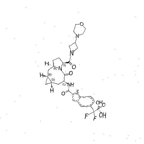 O=C(N[C@H]1C[C@@H]2C[C@@H]2C[C@H]2CC[C@@H](C(=O)N3CC(N4CCOCC4)C3)N2C1=O)c1cc2cc(C(F)(F)P(=O)(O)O)ccc2s1